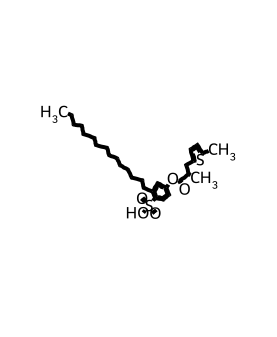 CCCCCCCCCCCCCCCc1cc(OC(=O)C(C)Cc2ccc(C)s2)ccc1S(=O)(=O)O